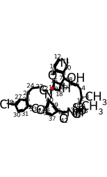 C[C@@H]1[C@@H](C)C/C=C/[C@]2(O)c3cnccc3O[C@@]3(CC[C@H]32)CN2CCCCc3cc(Cl)ccc3COc3ccc(cc32)C(=O)NS1(=O)=O